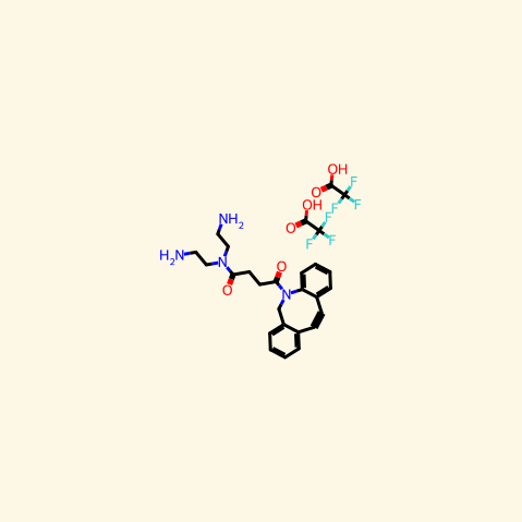 NCCN(CCN)C(=O)CCC(=O)N1Cc2ccccc2C#Cc2ccccc21.O=C(O)C(F)(F)F.O=C(O)C(F)(F)F